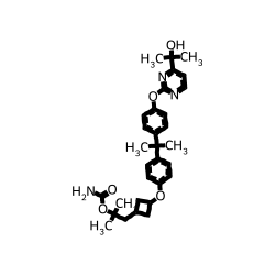 CC(C)(CC1CC(Oc2ccc(C(C)(C)c3ccc(Oc4nccc(C(C)(C)O)n4)cc3)cc2)C1)OC(N)=O